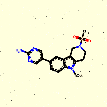 CCCCCCCCn1c2c(c3cc(-c4cnc(N)nc4)ccc31)CN(S(C)(=O)=O)CC2